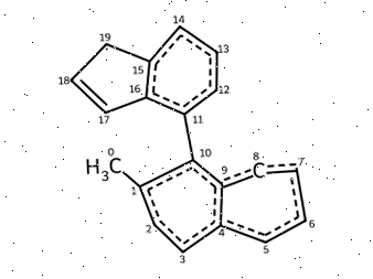 Cc1ccc2ccccc2c1-c1cccc2c1C=C[CH]2